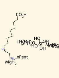 CCCCC/C=C\C/C=C\CCCCCCCC(=O)O.O.O.O.O.O[Si](O)(O)O.[MgH2].[MgH2].[MgH2].[MgH2]